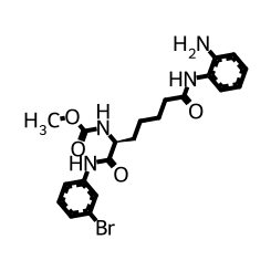 COC(=O)N[C@@H](CCCCC(=O)Nc1ccccc1N)C(=O)Nc1cccc(Br)c1